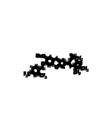 COc1cc(/C=C2/SC(N(Cc3c(C)nn(C)c3C)C3CC3)=NC2=O)ccc1OCc1ccc(C(F)(F)F)cc1C(F)(F)F